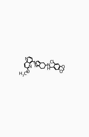 COc1ccc2nccc(-n3cc4c(n3)CCC(NCc3cc5c(cc3Cl)OCO5)C4)c2n1